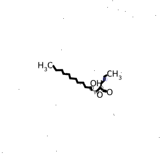 C/C=C/C[C@H]1C(=O)O[C@@H]1C[C@H](O)CCCCCCCCCCC